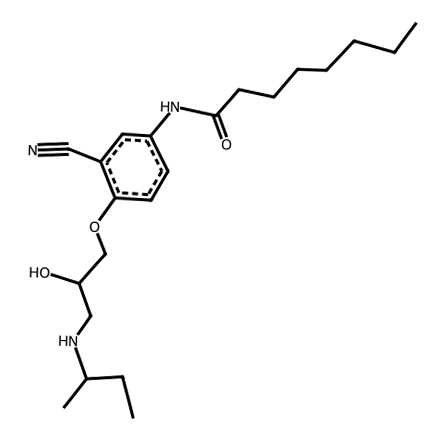 CCCCCCCC(=O)Nc1ccc(OCC(O)CNC(C)CC)c(C#N)c1